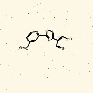 CCC/C=C(\C=N)c1noc(-c2cccc(OCC)c2)n1